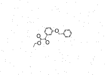 CCOC(=O)C(=O)c1cccc(OCc2ccccc2)c1